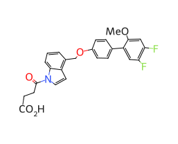 COc1cc(F)c(F)cc1-c1ccc(OCc2cccc3c2ccn3C(=O)CCC(=O)O)cc1